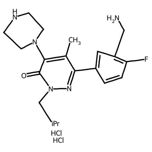 Cc1c(-c2ccc(F)c(CN)c2)nn(CC(C)C)c(=O)c1N1CCNCC1.Cl.Cl